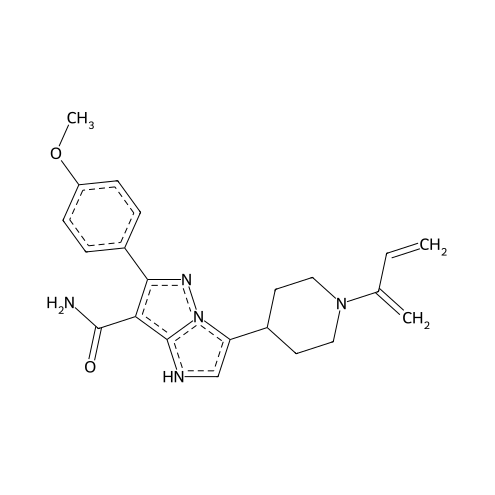 C=CC(=C)N1CCC(c2c[nH]c3c(C(N)=O)c(-c4ccc(OC)cc4)nn23)CC1